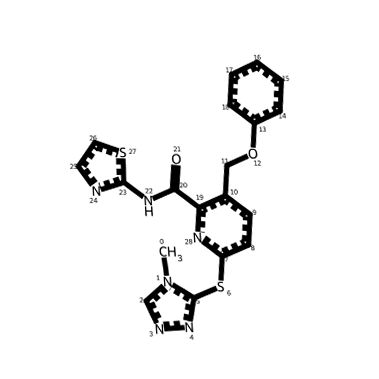 Cn1cnnc1Sc1ccc(COc2ccccc2)c(C(=O)Nc2nccs2)n1